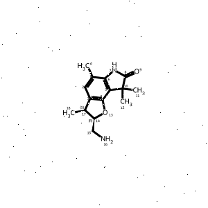 Cc1cc2c(c3c1NC(=O)C3(C)C)O[C@@H](CN)[C@H]2C